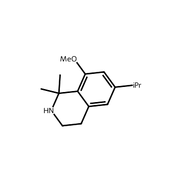 COc1cc(C(C)C)cc2c1C(C)(C)NCC2